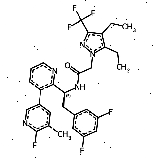 CCc1c(C(F)(F)F)nn(CC(=O)N[C@@H](Cc2cc(F)cc(F)c2)c2ncccc2-c2cnc(F)c(C)c2)c1CC